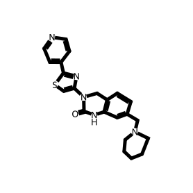 O=C1Nc2cc(CN3CCCCC3)ccc2CN1c1csc(-c2ccncc2)n1